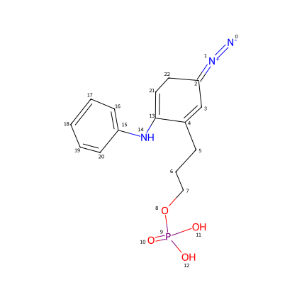 [N-]=[N+]=C1C=C(CCCOP(=O)(O)O)C(Nc2ccccc2)=CC1